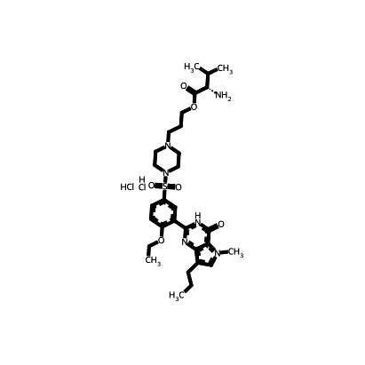 CCCc1cn(C)c2c(=O)[nH]c(-c3cc(S(=O)(=O)N4CCN(CCCOC(=O)[C@@H](N)C(C)C)CC4)ccc3OCC)nc12.Cl.Cl